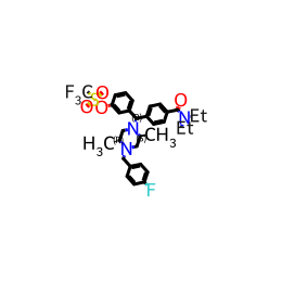 CCN(CC)C(=O)c1ccc([C@H](c2cccc(OS(=O)(=O)C(F)(F)F)c2)N2C[C@@H](C)N(Cc3ccc(F)cc3)C[C@@H]2C)cc1